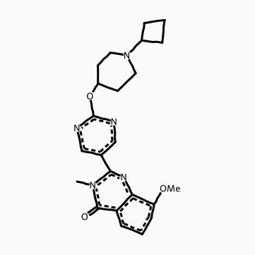 COc1cccc2c(=O)n(C)c(-c3cnc(OC4CCN(C5CCC5)CC4)nc3)nc12